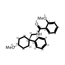 COc1ccccc1C(=O)NC[C@]1(c2ccccc2)CC[C@@H](OC)CC1